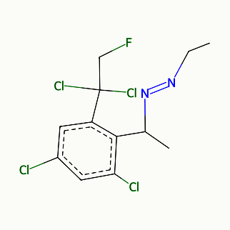 CCN=NC(C)c1c(Cl)cc(Cl)cc1C(Cl)(Cl)CF